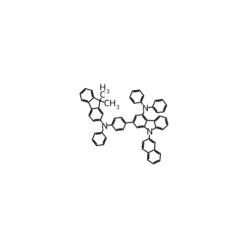 CC1(C)c2ccccc2-c2ccc(N(c3ccccc3)c3ccc(-c4cc(N(c5ccccc5)c5ccccc5)c5c6ccccc6n(-c6ccc7ccccc7c6)c5c4)cc3)cc21